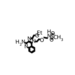 CCOCc1nc2c(N)nc3ccccc3c2n1CCOCCNS(C)(=O)=O